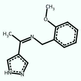 COc1ccccc1CN=C(C)c1cn[nH]c1